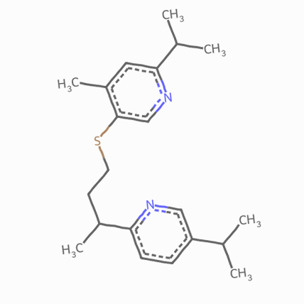 Cc1cc(C(C)C)ncc1SCCC(C)c1ccc(C(C)C)cn1